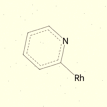 [Rh][c]1ccccn1